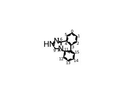 c1ccc2c(c1)C1=NNCN1c1ccccc1-2